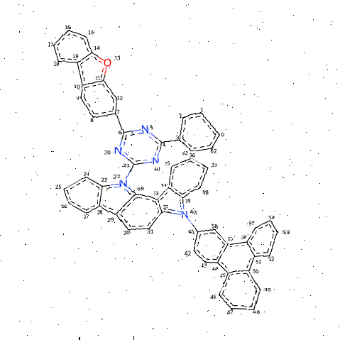 c1ccc(-c2nc(-c3ccc4c(c3)oc3ccccc34)nc(-n3c4ccccc4c4ccc5c(c6ccccc6n5-c5ccc6c7ccccc7c7ccccc7c6c5)c43)n2)cc1